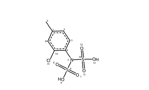 Cc1ccc(N(S(=O)(=O)O)S(=O)(=O)O)c(Cl)c1